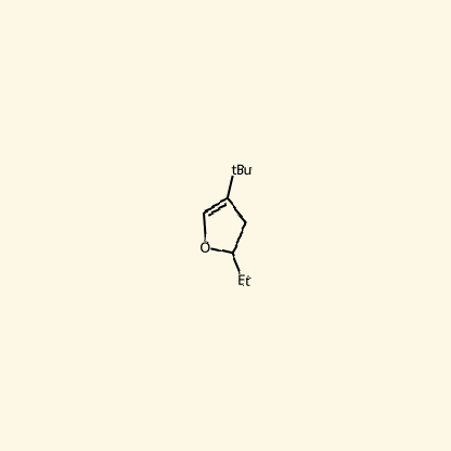 CCC1CC(C(C)(C)C)=CO1